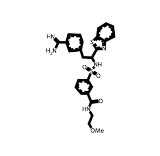 COCCNC(=O)c1cccc(S(=O)(=O)NC(Cc2cccc(C(=N)N)c2)c2nc3ccccc3s2)c1